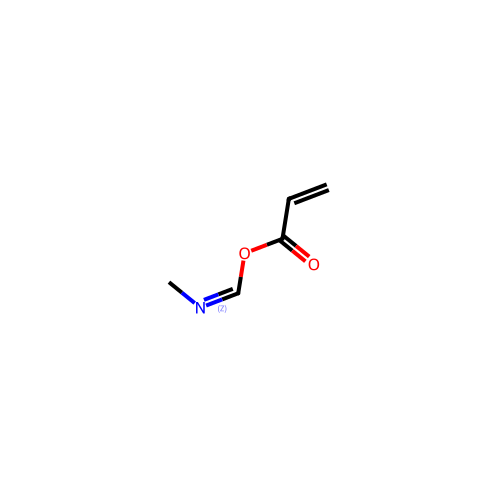 C=CC(=O)O/C=N\C